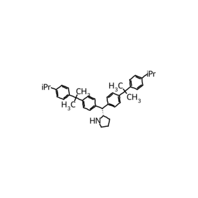 CC(C)c1ccc(C(C)(C)c2ccc(C(c3ccc(C(C)(C)c4ccc(C(C)C)cc4)cc3)[C@@H]3CCCN3)cc2)cc1